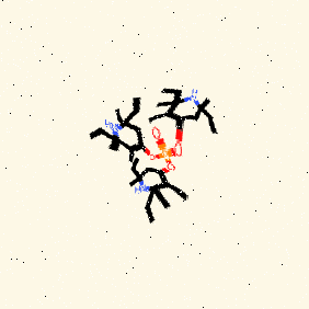 CCC1(C)CC(OP(=O)(OC2CC(C)(CC)NC(C)(CC)C2C)OC2CC(C)(CC)NC(C)(CC)C2C)C(C)C(C)(CC)N1